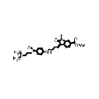 COC(=O)c1ccc2c(c1)NC(=O)/C2=C\CCCNc1ccc(N(CCCN(C)C)C(C)=O)cc1